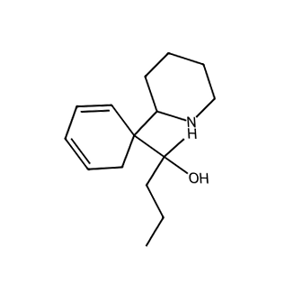 CCCC(C)(O)C1(C2CCCCN2)C=CC=CC1